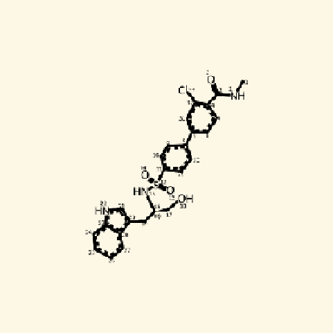 CNC(=O)c1ccc(-c2ccc(S(=O)(=O)N[C@@H](CO)Cc3c[nH]c4ccccc34)cc2)cc1Cl